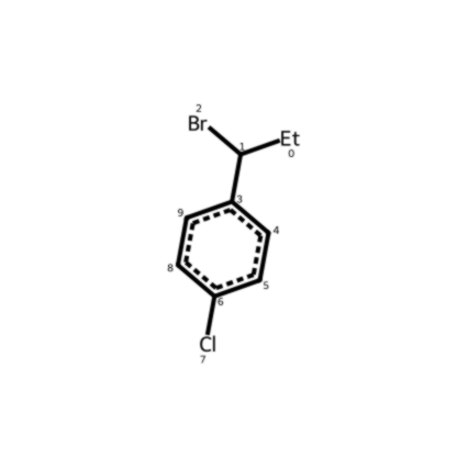 CCC(Br)c1ccc(Cl)cc1